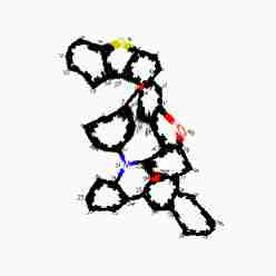 c1cc(-c2cccc3sc4ccccc4c23)cc(N(c2ccccc2-c2ccc3ccccc3c2)c2cccc3oc4ccccc4c23)c1